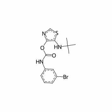 CC(C)(C)Nc1scnc1OC(=O)Nc1cccc(Br)c1